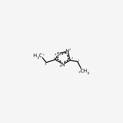 CCc1nsc(CC)n1